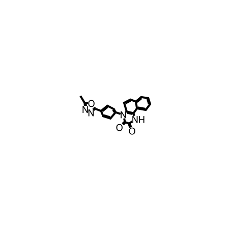 Cc1nnc(-c2ccc(-n3c(=O)c(=O)[nH]c4c5ccccc5ccc43)cc2)o1